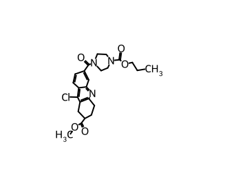 CCCOC(=O)N1CCN(C(=O)c2ccc3c(Cl)c4c(nc3c2)CCC(C(=O)OC)C4)CC1